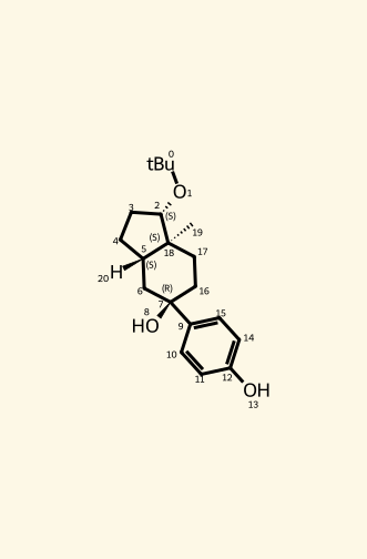 CC(C)(C)O[C@H]1CC[C@H]2C[C@@](O)(c3ccc(O)cc3)CC[C@@]21C